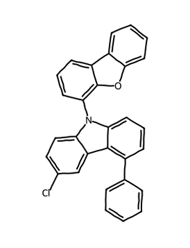 Clc1ccc2c(c1)c1c(-c3ccccc3)cccc1n2-c1cccc2c1oc1ccccc12